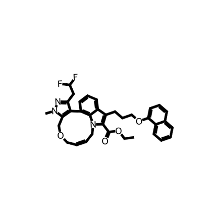 CCOC(=O)c1c(CCCOc2cccc3ccccc23)c2cccc3c2n1C/C=C\COCc1c-3c(CC(F)F)nn1C